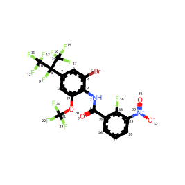 O=C(Nc1c(Br)cc(C(F)(C(F)(F)F)C(F)(F)F)cc1OC(F)(F)F)c1cccc([N+](=O)[O-])c1F